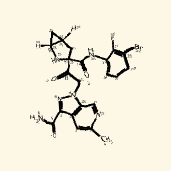 Cc1cc2c(C(N)=O)nn(CC(=O)[C@]3(C(=O)Nc4cccc(Br)c4F)C[C@H]4C[C@H]4N3)c2cn1